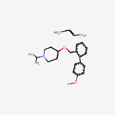 CCOc1ccc(-c2ccccc2COC2CCN(C(C)C(=O)O)CC2)cc1.O=C(O)C=CC(=O)O